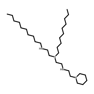 CCCCCCCCCCNCCN(CCCCCCCCCC)CCNCCN1CCCCC1